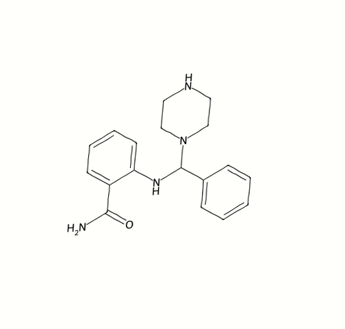 NC(=O)c1ccccc1NC(c1ccccc1)N1CCNCC1